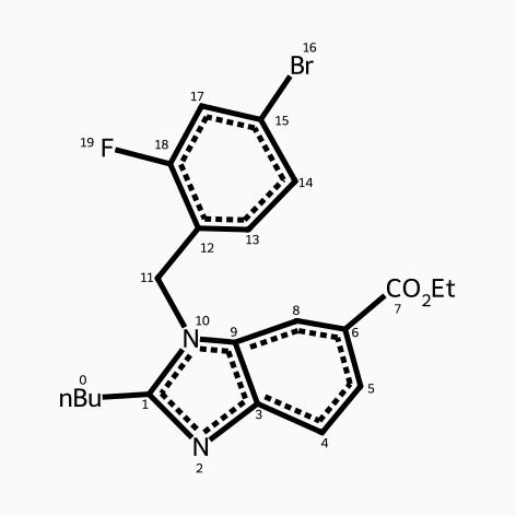 CCCCc1nc2ccc(C(=O)OCC)cc2n1Cc1ccc(Br)cc1F